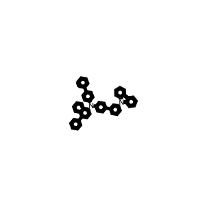 c1cccc(-c2ccc(N(c3ccc(-c4cccc(-n5c6ccccc6c6ccccc65)c4)cc3)c3ccc(-c4ccccc4)c4ccccc34)cc2)c#1